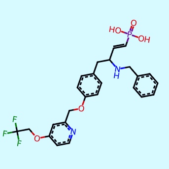 O=P(O)(O)C=CC(Cc1ccc(OCc2cc(OCC(F)(F)F)ccn2)cc1)NCc1ccccc1